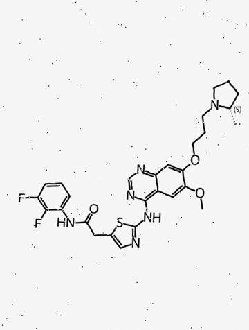 [CH2][C@H]1CCCN1CCCOc1cc2ncnc(Nc3ncc(CC(=O)Nc4cccc(F)c4F)s3)c2cc1OC